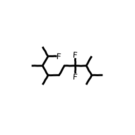 CC(C)C(C)C(F)(F)CCC(C)C(C)C(C)F